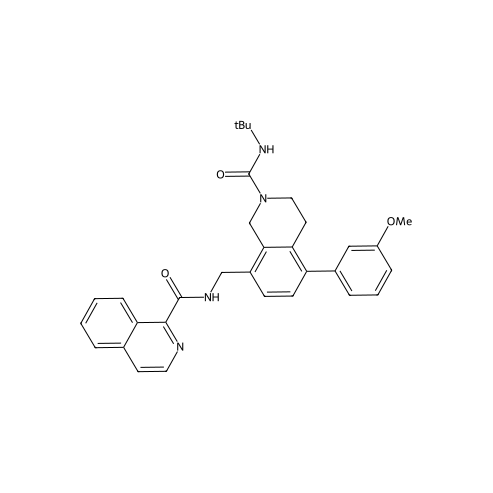 COc1cccc(-c2ccc(CNC(=O)c3nccc4ccccc34)c3c2CCN(C(=O)NC(C)(C)C)C3)c1